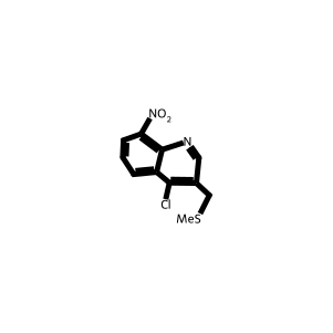 CSCc1cnc2c([N+](=O)[O-])cccc2c1Cl